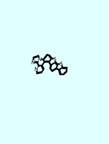 c1ccc2c(c1)sc1c2ccc2c1sc1ccc3c(c4cccnc4c4nccn34)c12